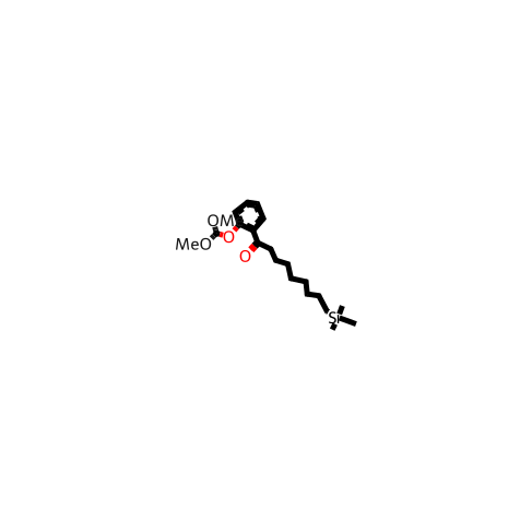 COC(OC)Oc1ccccc1C(=O)CCCCCCCC[Si](C)(C)C